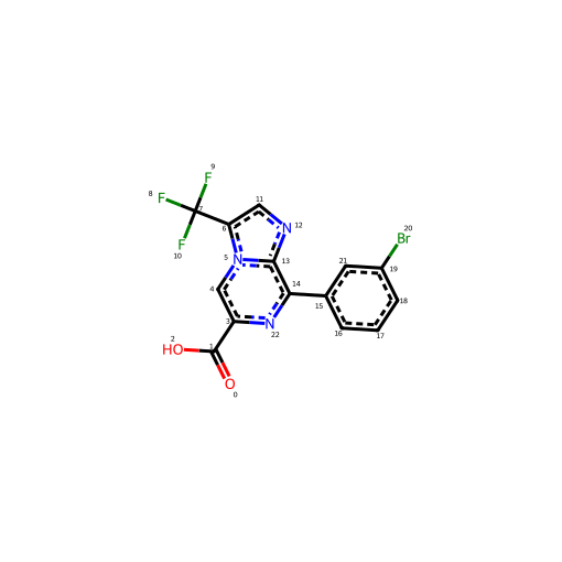 O=C(O)c1cn2c(C(F)(F)F)cnc2c(-c2cccc(Br)c2)n1